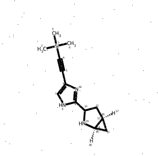 C[Si](C)(C)C#Cc1c[nH]c(C2C[C@H]3C[C@H]3N2)n1